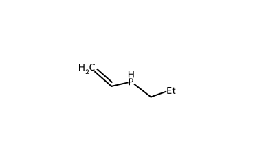 C=CPCCC